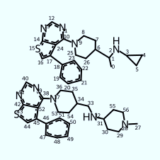 CC(NC1CC1)C1CCN(c2ncnc3scc(-c4ccccc4)c23)CC1.CN1CCC(NCC2CCN(c3ncnc4scc(-c5ccccc5)c34)CC2)CC1